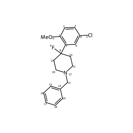 COc1ccc(Cl)cc1C1(F)CCN(Cc2ccccc2)CC1